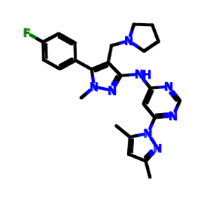 Cc1cc(C)n(-c2cc(Nc3nn(C)c(-c4ccc(F)cc4)c3CN3CCCC3)ncn2)n1